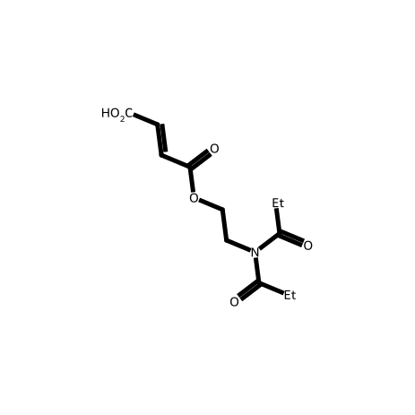 CCC(=O)N(CCOC(=O)C=CC(=O)O)C(=O)CC